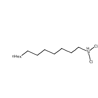 CCCCCCCCCCCCC[SiH](Cl)Cl